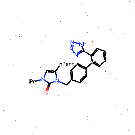 CCCCCc1cn(C(C)C)c(=O)n1Cc1ccc(-c2ccccc2-c2nnn[nH]2)cc1